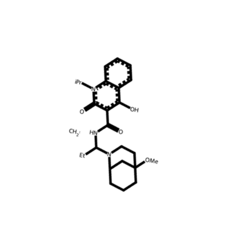 CCC(NC(=O)c1c(O)c2ccccc2n(C(C)C)c1=O)N1CCC2(OC)CCCC1C2.[CH2]